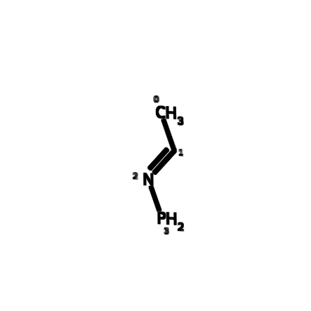 C/C=N/P